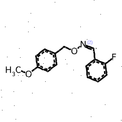 COc1ccc(CO/N=[C]\c2ccccc2F)cc1